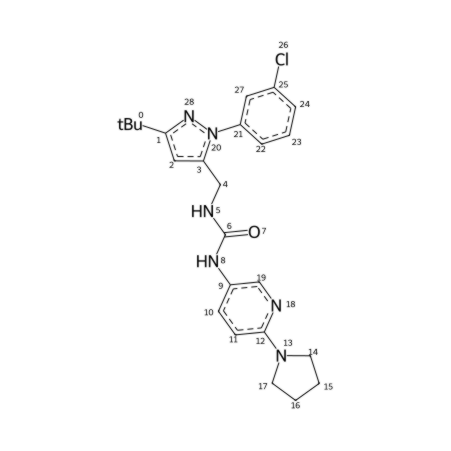 CC(C)(C)c1cc(CNC(=O)Nc2ccc(N3CCCC3)nc2)n(-c2cccc(Cl)c2)n1